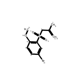 C=C(C)CS(=O)(=O)c1cc(Br)ccc1OC